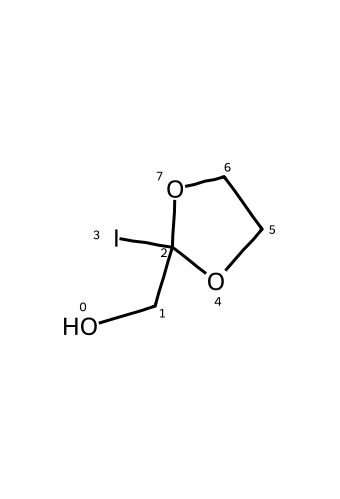 OCC1(I)OCCO1